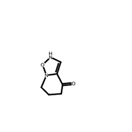 O=C1CCCN2ONC=C12